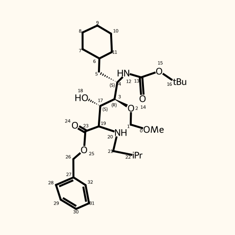 COCO[C@H]([C@H](CC1CCCCC1)NC(=O)OC(C)(C)C)[C@@H](O)C(NCC(C)C)C(=O)OCc1ccccc1